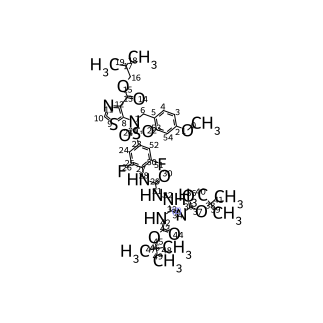 COc1ccc(CN(c2scnc2C(=O)OCC(C)C)S(=O)(=O)c2cc(F)c(NC(=O)NN/C(=N\C(=O)OC(C)(C)C)NC(=O)OC(C)(C)C)c(F)c2)cc1